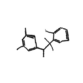 Cc1cc(C)cc(C(C)C(C)(C)c2ccccc2I)c1